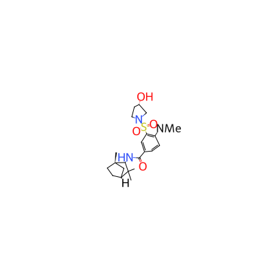 CNc1ccc(C(=O)NC2C(C)(C)[C@@H]3CC[C@@]2(C)C3)cc1S(=O)(=O)N1CC[C@H](O)C1